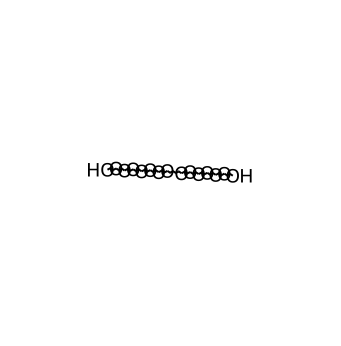 OCCOCCOCCOCCOCCOCCOCCCCOCCOCCOCCOCCOCCOCCOCCO